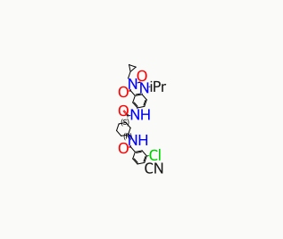 CC(C)n1c(=O)n(CC2CC2)c(=O)c2cc(NC(=O)[C@H]3CCC[C@@H](NC(=O)c4ccc(C#N)c(Cl)c4)C3)ccc21